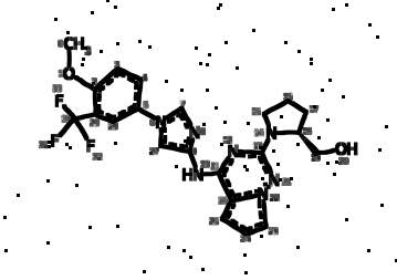 COc1ccc(-n2cnc(Nc3nc(N4CCC[C@H]4CO)nn4cccc34)c2)cc1C(F)(F)F